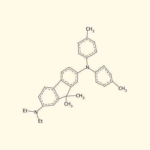 CCN(CC)c1ccc2c(c1)C(C)(C)c1cc(N(c3ccc(C)cc3)c3ccc(C)cc3)ccc1-2